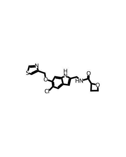 O=C(NCc1cc2cc(Cl)c(OCc3cscn3)cc2[nH]1)C1CCO1